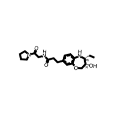 CC[C@H]1Nc2ccc(CCC(=O)NCC(=O)N3CCCC3)cc2OC[C@H]1O